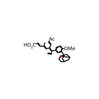 C=C/C(=C(/C=C/C(C)=O)\C=C(C)\C=C\C(=O)O)c1ccc(OC)c(C23CC4CC(CC(C4)C2)C3)c1